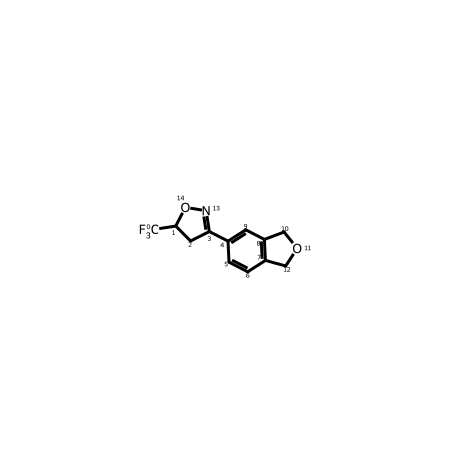 FC(F)(F)C1CC(c2ccc3c(c2)COC3)=NO1